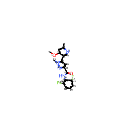 COc1cc(C)ncc1-c1cc(C(=O)Nc2c(F)cccc2F)nn1C